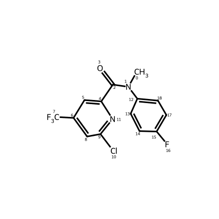 CN(C(=O)c1cc(C(F)(F)F)cc(Cl)n1)c1ccc(F)cc1